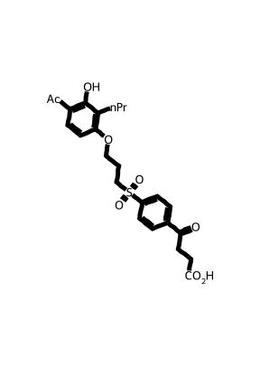 CCCc1c(OCCCS(=O)(=O)c2ccc(C(=O)CCC(=O)O)cc2)ccc(C(C)=O)c1O